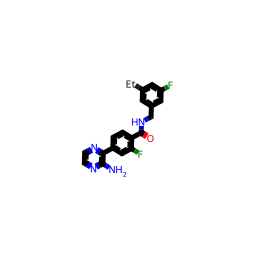 CCc1cc(F)cc(CNC(=O)c2ccc(-c3nccnc3N)cc2F)c1